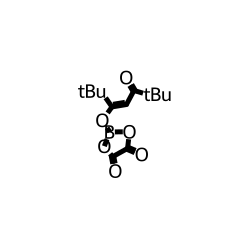 CC(C)(C)C(=O)C=C(OB1OC(=O)C(=O)O1)C(C)(C)C